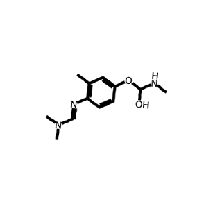 CNC(O)Oc1ccc(N=CN(C)C)c(C)c1